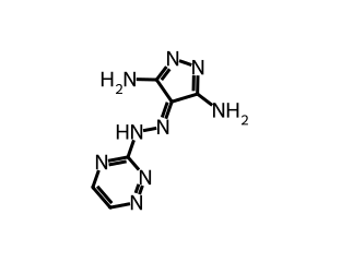 NC1=NN=C(N)C1=NNc1nccnn1